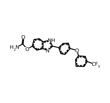 NC(=O)Oc1ccc2[nH]c(-c3ccc(Oc4cccc(C(F)(F)F)c4)cc3)nc2c1